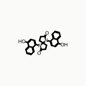 O=C1CCC2(CCC(=O)N2c2ccc(O)c3ccccc23)N1c1ccc(O)c2ccccc12